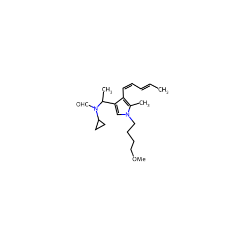 C/C=C/C=C\c1c(C(C)N(C=O)C2CC2)cn(CCCCOC)c1C